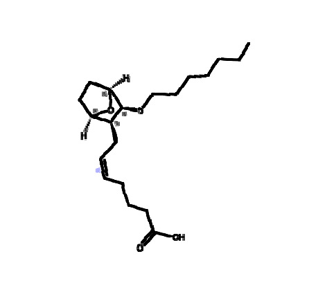 CCCCCCCO[C@H]1[C@@H](C/C=C\CCCC(=O)O)[C@H]2CC[C@@H]1O2